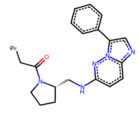 CC(C)CC(=O)N1CCC[C@H]1CNc1ccc2ncc(-c3ccccc3)n2n1